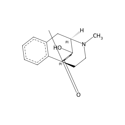 CN1CC[C@]23CC(=O)CCC2(O)[C@H]1Cc1ccccc13